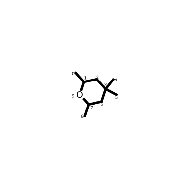 CC1CC(C)(C)CC(C)O1